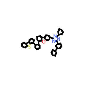 c1ccc(-c2cccc(-c3nc(-c4ccccc4)nc(-c4ccc5c(c4)oc4c(-c6ccccc6-c6cccc7c6sc6ccccc67)cccc45)n3)c2)cc1